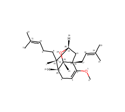 COC1=CC[C@@H]2[C@](C)(CCC=C(C)C)[C@H]3C[C@@]1(CC=C(C)C)[C@@]2(C)O3